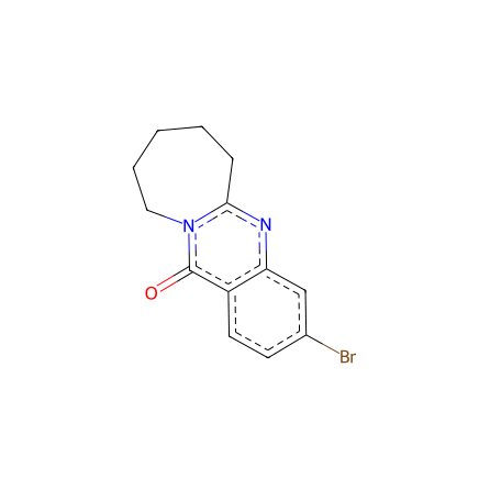 O=c1c2ccc(Br)cc2nc2n1CCCCC2